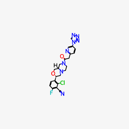 N#Cc1c(F)ccc([C@@H]2CN3CCN(C(=O)Cc4ccc(-n5cnnn5)cn4)C[C@H]3CO2)c1Cl